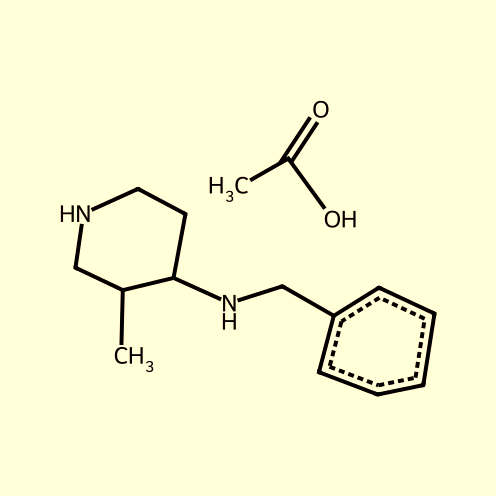 CC(=O)O.CC1CNCCC1NCc1ccccc1